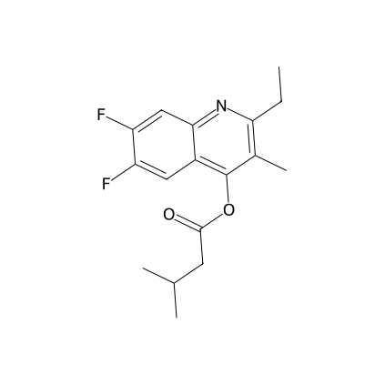 CCc1nc2cc(F)c(F)cc2c(OC(=O)CC(C)C)c1C